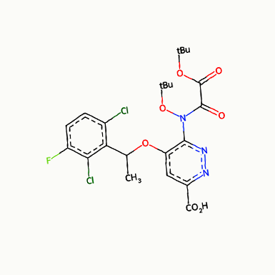 CC(Oc1cc(C(=O)O)nnc1N(OC(C)(C)C)C(=O)C(=O)OC(C)(C)C)c1c(Cl)ccc(F)c1Cl